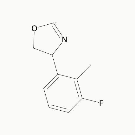 Cc1c(F)cccc1C1CO[C]=N1